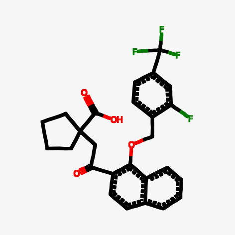 O=C(CC1(C(=O)O)CCCC1)c1ccc2ccccc2c1OCc1ccc(C(F)(F)F)cc1F